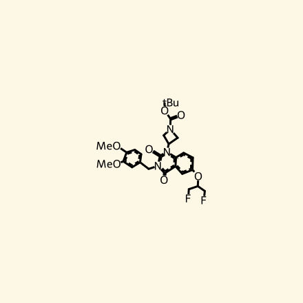 COc1ccc(Cn2c(=O)c3cc(OC(CF)CF)ccc3n(C3CN(C(=O)OC(C)(C)C)C3)c2=O)cc1OC